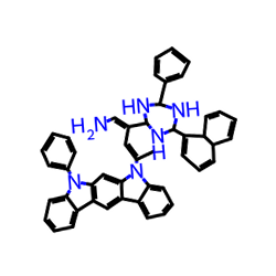 C/C(=C\C(=C/N)C1NC(C2=CC=CC3C=CC=CC23)NC(c2ccccc2)N1)n1c2ccccc2c2cc3c4ccccc4n(-c4ccccc4)c3cc21